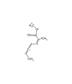 CC=C=CC=C(C)C(=O)OC